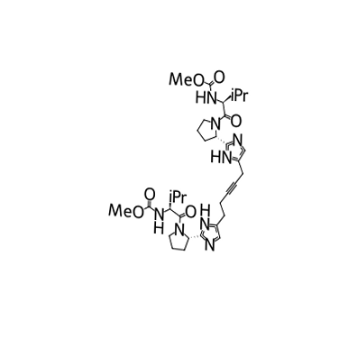 COC(=O)N[C@H](C(=O)N1CCC[C@H]1c1ncc(CC#CCCc2cnc([C@@H]3CCCN3C(=O)[C@@H](NC(=O)OC)C(C)C)[nH]2)[nH]1)C(C)C